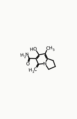 C=C1C(C(N)=O)=C(O)C(C)=C2CCCN12